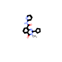 Cn1c(C2CCCC2)nc2c(C(=O)Nc3ccccn3)cccc2c1=O